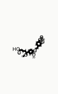 CCOC(CC=CC(=O)O)c1ccc(OCCc2ccc(OS(C)(=O)=O)cc2)c(OC)c1